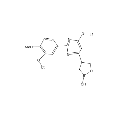 CCOc1cc(C2COB(O)C2)nc(-c2ccc(OC)c(OCC)c2)n1